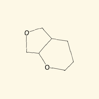 C1COC2COCC2C1